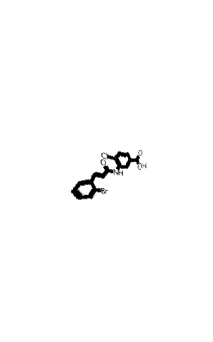 O=C(C=Cc1ccccc1Br)Nc1cc(C(=O)O)ccc1Cl